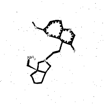 COc1ccc2ncc(F)c(CCN3CC4CCC[C@]4(CN)C3)c2n1